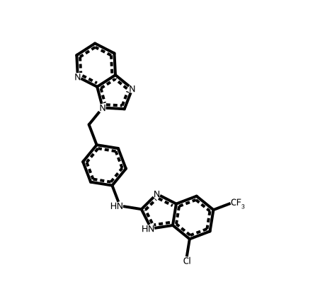 FC(F)(F)c1cc(Cl)c2[nH]c(Nc3ccc(Cn4cnc5cccnc54)cc3)nc2c1